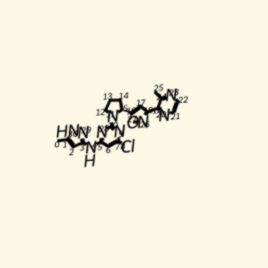 Cc1cc(Nc2cc(Cl)nc(N3CCC[C@H]3c3cc(-c4nccnc4C)no3)n2)n[nH]1